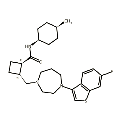 C[C@H]1CC[C@@H](NC(=O)[C@@H]2CC[C@H]2CN2CCCN(c3csc4cc(F)ccc34)CC2)CC1